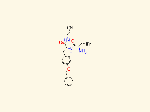 CC(C)CC(N)C(=O)NC(Cc1ccc(OCc2ccccc2)cc1)C(=O)NCCC#N